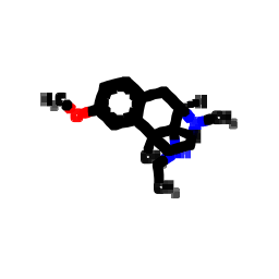 CCN[C@H]1[C@H]2Cc3ccc(OC)cc3[C@@]1(C)CCN2C